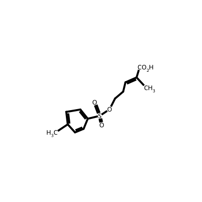 C/C(=C\CCOS(=O)(=O)c1ccc(C)cc1)C(=O)O